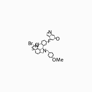 COc1ccc(CN2Cc3ccc4sc(Br)nc4c3C2c2cc(F)ccc2Cl)cc1.O=C1C=CC2=CC=NC2=C1